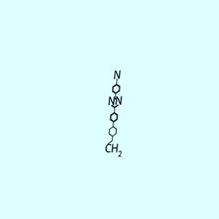 C=CCC1CCC(c2ccc(-c3cnc(-c4ccc(C#N)cc4)nc3)cc2)CC1